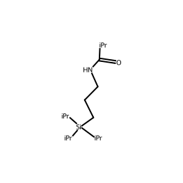 CC(C)C(=O)NCCC[Si](C(C)C)(C(C)C)C(C)C